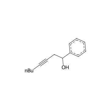 CCCCC#CCC(O)c1ccccc1